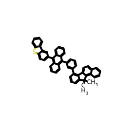 CC1(C)c2cccc(-c3cccc(-c4c5ccccc5c(-c5ccc6sc7ccccc7c6c5)c5ccccc45)c3)c2-c2ccc3ccccc3c21